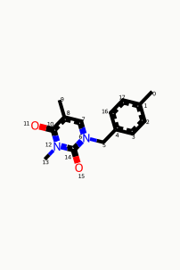 Cc1ccc(Cn2cc(C)c(=O)n(C)c2=O)cc1